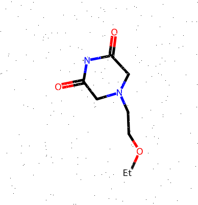 CCOCCN1CC(=O)[N]C(=O)C1